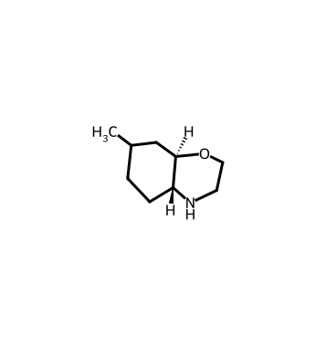 CC1CC[C@H]2NCCO[C@@H]2C1